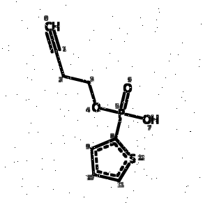 C#CCCOP(=O)(O)c1cccs1